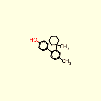 Cc1ccc(-c2ccc(O)cc2)c(C2(C)CCCCC2)c1